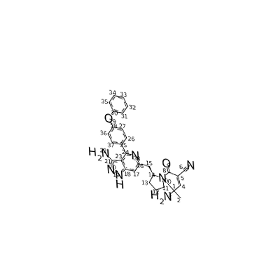 CC(C)(N)/C=C(/C#N)C(=O)N1CCC[C@H]1Cc1cc2[nH]nc(N)c2c(-c2ccc(Oc3ccccc3)cc2)n1